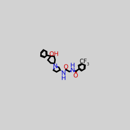 O=C(CNC(=O)c1cccc(C(F)(F)F)c1)N[C@@H]1CCN(C2CCC(O)(c3ccccc3)CC2)C1